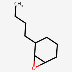 CCCCC1CCCC2OC12